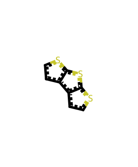 c1cc2c(s1)sc1sccc12